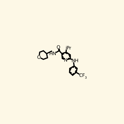 CC(C)c1cc(Nc2cccc(C(F)(F)F)c2)ncc1C(=O)NCC1CCOCC1